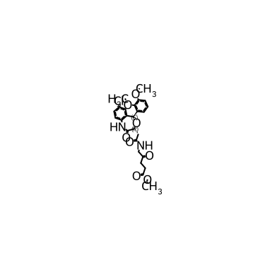 COC(=O)CCC(=O)CNC(=O)C[C@H]1O[C@H](c2cccc(OC)c2OC)c2cc(Cl)ccc2NC1=O